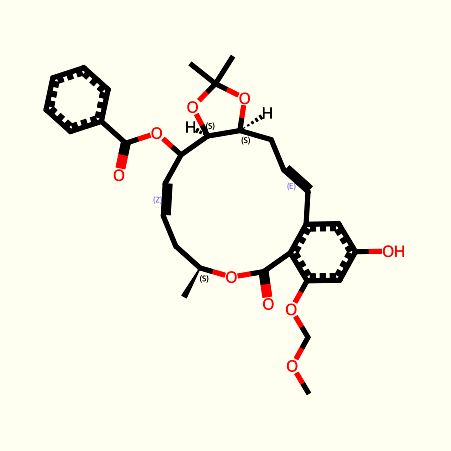 COCOc1cc(O)cc2c1C(=O)O[C@@H](C)C/C=C\C(OC(=O)c1ccccc1)[C@H]1OC(C)(C)O[C@H]1C/C=C/2